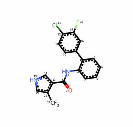 O=C(Nc1ccccc1-c1ccc(Cl)c(F)c1)c1c[nH]cc1C(F)(F)F